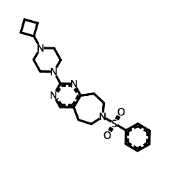 O=S(=O)(c1ccccc1)N1CCc2cnc(N3CCN(C4CCC4)CC3)nc2CC1